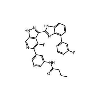 CCCC(=O)Nc1cncc(-c2ncc3[nH]nc(-c4nc5c(-c6cccc(F)c6)cccc5[nH]4)c3c2F)c1